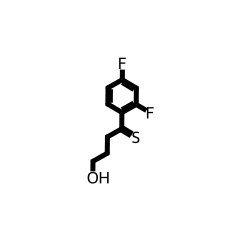 OCCCC(=S)c1ccc(F)cc1F